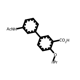 CCCOc1ccc(-c2cccc(NC(C)=O)c2)cc1C(=O)O